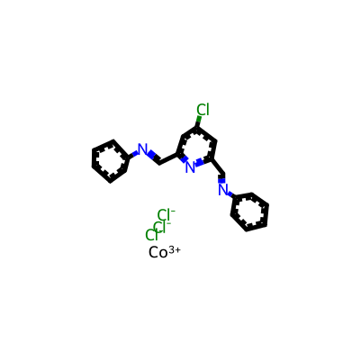 Clc1cc(C=Nc2ccccc2)nc(C=Nc2ccccc2)c1.[Cl-].[Cl-].[Cl-].[Co+3]